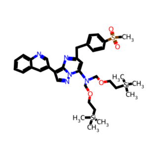 C[Si](C)(C)CCOCN(COCC[Si](C)(C)C)c1cc(Cc2ccc(S(C)(=O)=O)cc2)nc2c(-c3cnc4ccccc4c3)cnn12